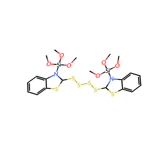 CO[Si](OC)(OC)N1c2ccccc2SC1SSSSC1Sc2ccccc2N1[Si](OC)(OC)OC